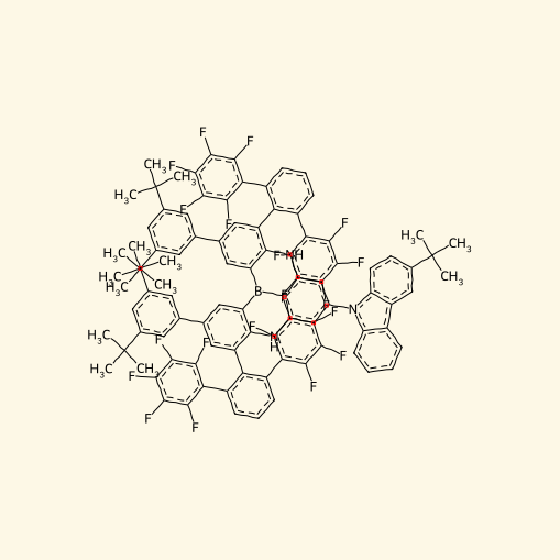 CC(C)(C)c1cc(-c2cc3c(c(-c4c(-c5c(F)c(F)c(F)c(F)c5F)cccc4-c4c(F)c(F)c(F)c(F)c4F)c2)Nc2cc(-n4c5ccccc5c5cc(C(C)(C)C)ccc54)cc4c2B3c2cc(-c3cc(C(C)(C)C)cc(C(C)(C)C)c3)cc(-c3c(-c5c(F)c(F)c(F)c(F)c5F)cccc3-c3c(F)c(F)c(F)c(F)c3F)c2N4)cc(C(C)(C)C)c1